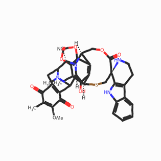 COC1=C(C)C(=O)C2=C(C1=O)C1[C@@H]3[C@@H]4SC[C@]5(NCCc6c5[nH]c5ccccc65)C(=O)OC[C@@H](c5c6c(c(C)c(O)c54)OCO6)N3[C@@H](C#N)C(C2)N1C